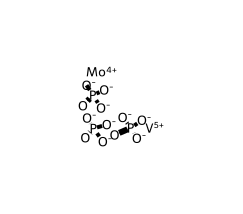 O=P([O-])([O-])[O-].O=P([O-])([O-])[O-].O=P([O-])([O-])[O-].[Mo+4].[V+5]